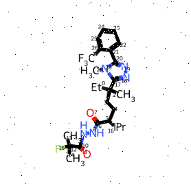 CCC(C)(CCC(C(=O)NNC(=O)C(C)(C)F)C(C)C)c1nnc(-c2ccccc2C(F)(F)F)n1C